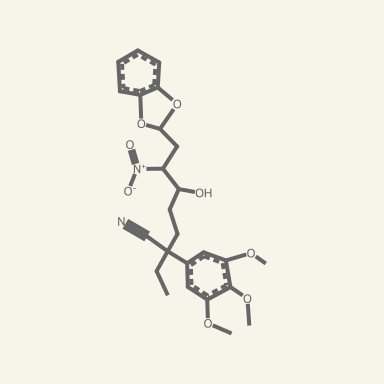 CCC(C#N)(CCC(O)C(CC1Oc2ccccc2O1)[N+](=O)[O-])c1cc(OC)c(OC)c(OC)c1